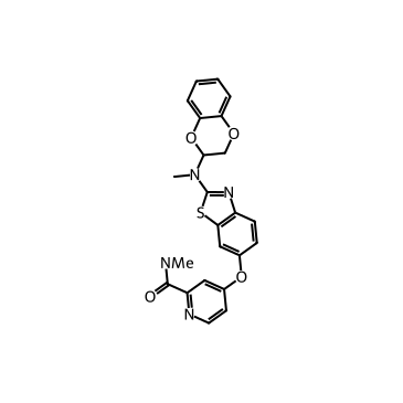 CNC(=O)c1cc(Oc2ccc3nc(N(C)C4COc5ccccc5O4)sc3c2)ccn1